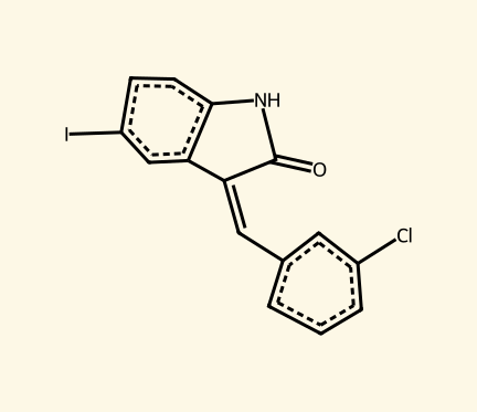 O=C1Nc2ccc(I)cc2C1=Cc1cccc(Cl)c1